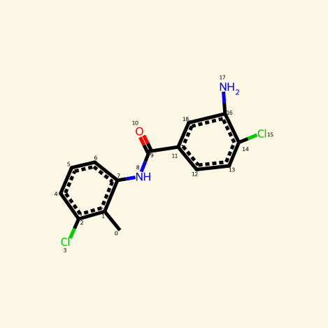 Cc1c(Cl)cccc1NC(=O)c1ccc(Cl)c(N)c1